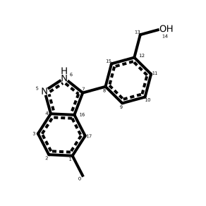 Cc1ccc2n[nH]c(-c3cccc(CO)c3)c2c1